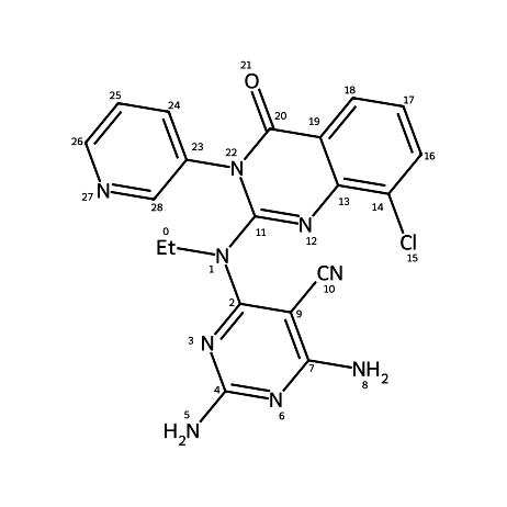 CCN(c1nc(N)nc(N)c1C#N)c1nc2c(Cl)cccc2c(=O)n1-c1cccnc1